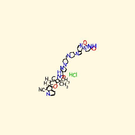 CC1(C)C(NC(=O)c2ccc(N3CCC(CN4CCC(n5ccc6c(N7CCC(=O)NC7=O)nccc65)CC4)CC3)nc2)C(C)(C)C1Oc1ccc(C#N)c2ncccc12.Cl